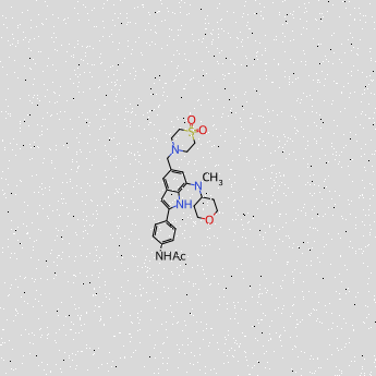 CC(=O)Nc1ccc(-c2cc3cc(CN4CCS(=O)(=O)CC4)cc(N(C)C4CCOCC4)c3[nH]2)cc1